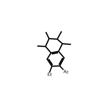 CCc1cc2c(cc1C(C)=O)C(C)C(C)C(C)C2C